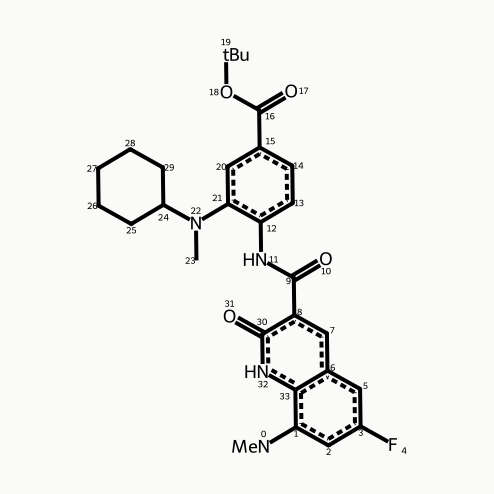 CNc1cc(F)cc2cc(C(=O)Nc3ccc(C(=O)OC(C)(C)C)cc3N(C)C3CCCCC3)c(=O)[nH]c12